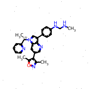 CNCNc1ccc(-c2cn([C@@H](C)c3ccccn3)c3cc(-c4c(C)noc4C)cnc23)cc1